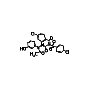 CC(=O)N(c1cccc(O)c1)n1c(=O)n(S(=O)(=O)c2ccc(Cl)cc2)c(=O)c2ccc(Cl)cc21